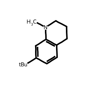 CN1CCCc2ccc(C(C)(C)C)cc21